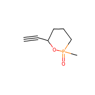 C#CC1CCCP(C)(=O)O1